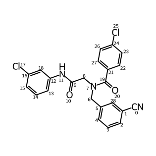 N#Cc1cccc(CN(CC(=O)Nc2cccc(Cl)c2)C(=O)c2ccc(Cl)cc2)c1